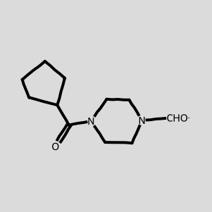 O=[C]N1CCN(C(=O)C2CCCC2)CC1